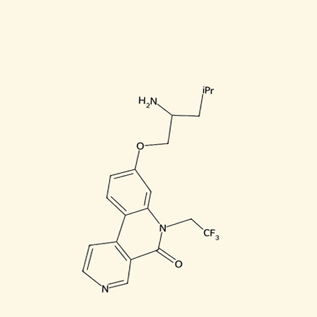 CC(C)CC(N)COc1ccc2c3ccncc3c(=O)n(CC(F)(F)F)c2c1